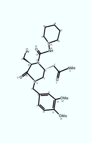 CNC(=O)C[C@@H]1CN(Cc2ccc(OC)c(OC)c2)C(=O)[C@@H](CC(C)C)N1C(=O)NN1CCCCC1